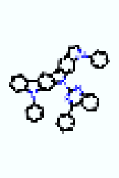 c1ccc(-c2nc(-n3c4cc5c(ccn5-c5ccccc5)cc4c4cc5c6ccccc6n(-c6ccccc6)c5cc43)nc3ccccc23)cc1